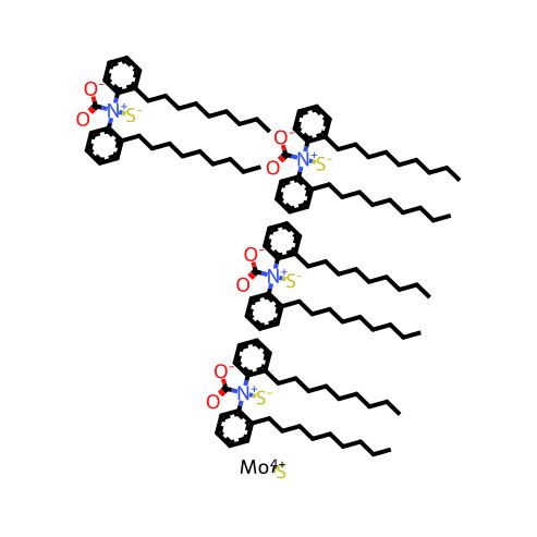 CCCCCCCCCc1ccccc1[N+]([S-])(C(=O)[O-])c1ccccc1CCCCCCCCC.CCCCCCCCCc1ccccc1[N+]([S-])(C(=O)[O-])c1ccccc1CCCCCCCCC.CCCCCCCCCc1ccccc1[N+]([S-])(C(=O)[O-])c1ccccc1CCCCCCCCC.CCCCCCCCCc1ccccc1[N+]([S-])(C(=O)[O-])c1ccccc1CCCCCCCCC.[S]=[Mo+4]